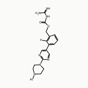 CC(=O)N1CCN(c2ncc(-c3cccc(COC(=O)NC(=N)N)c3F)cn2)CC1